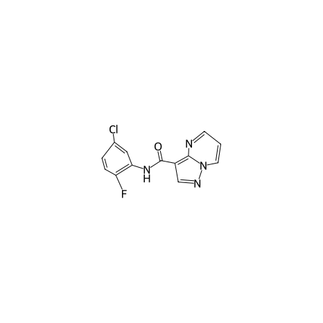 O=C(Nc1cc(Cl)ccc1F)c1cnn2cccnc12